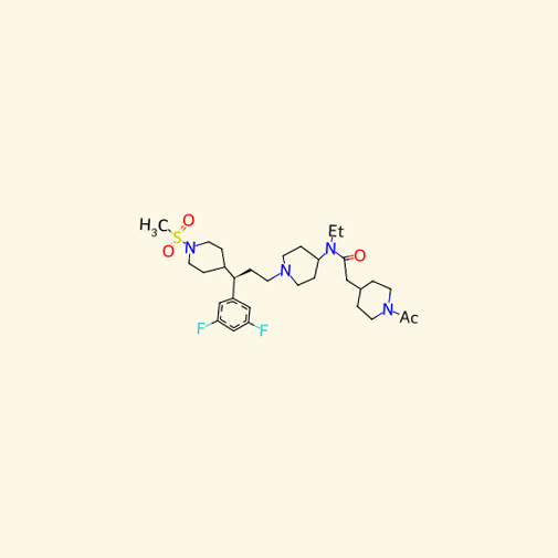 CCN(C(=O)CC1CCN(C(C)=O)CC1)C1CCN(CC[C@@H](c2cc(F)cc(F)c2)C2CCN(S(C)(=O)=O)CC2)CC1